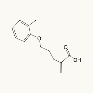 C=C(CCCOc1ccccc1C)C(=O)O